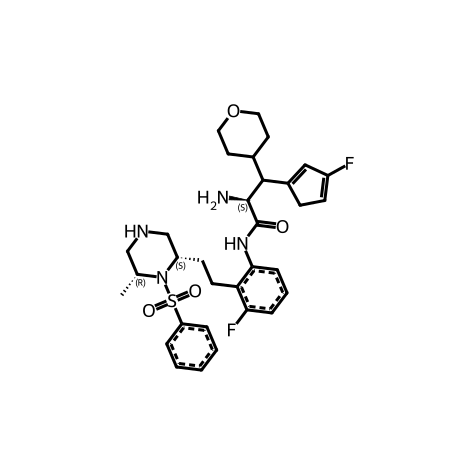 C[C@@H]1CNC[C@H](CCc2c(F)cccc2NC(=O)[C@@H](N)C(C2=CC(F)=CC2)C2CCOCC2)N1S(=O)(=O)c1ccccc1